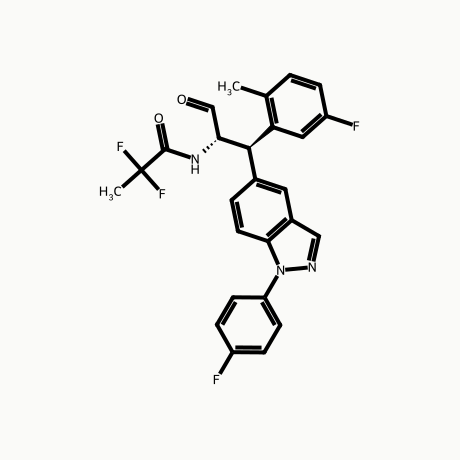 Cc1ccc(F)cc1[C@@H](c1ccc2c(cnn2-c2ccc(F)cc2)c1)[C@@H](C=O)NC(=O)C(C)(F)F